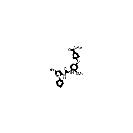 CNC(=O)c1ccc(Oc2ccc(NC(=O)Nc3cc(C(C)(C)C)nn3-c3ccccc3)c(SC)c2)cn1